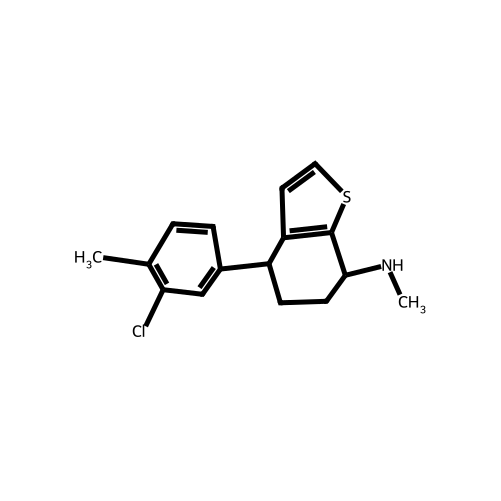 CNC1CCC(c2ccc(C)c(Cl)c2)c2ccsc21